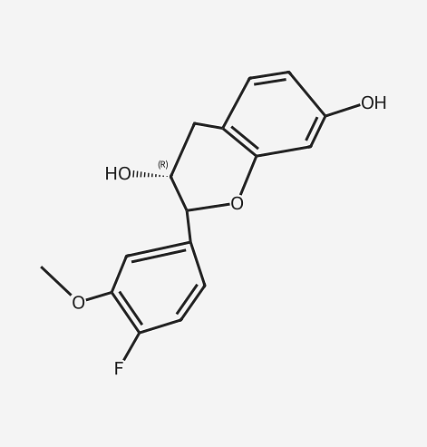 COc1cc(C2Oc3cc(O)ccc3C[C@H]2O)ccc1F